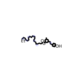 CC/C=C\C/C=C\C/C=C\C/C=C\C/C=C\C/C=C\CCC(=O)Oc1cc(C)cc(/C=C/c2ccc(O)cc2)c1